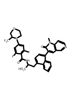 Cn1c(=O)c(-c2ccc(CC(NC(=O)c3c(F)cc(N4CCOCC4C(F)(F)F)cc3F)C(=O)O)c3ccccc23)cc2cnccc21